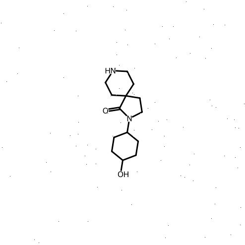 O=C1N(C2CCC(O)CC2)CCC12CCNCC2